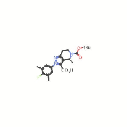 Cc1cc(-n2nc3c(c2C(=O)O)[C@H](C)N(C(=O)OC(C)(C)C)CC3)cc(C)c1F